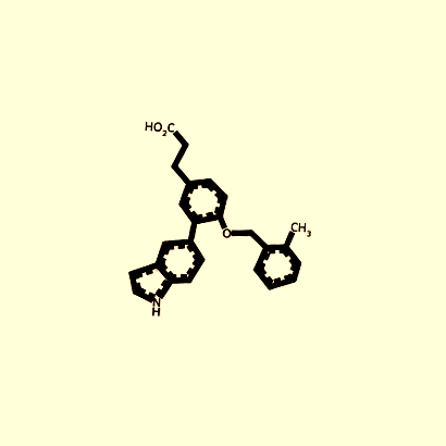 Cc1ccccc1COc1ccc(CCC(=O)O)cc1-c1ccc2[nH]ccc2c1